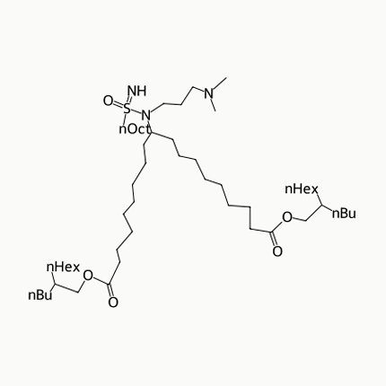 CCCCCCCCS(=N)(=O)N(CCCN(C)C)C(CCCCCCCCC(=O)OCC(CCCC)CCCCCC)CCCCCCCCC(=O)OCC(CCCC)CCCCCC